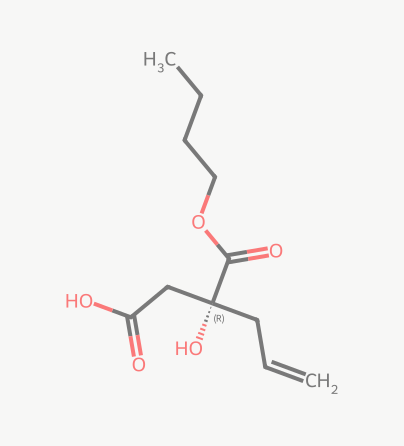 C=CC[C@@](O)(CC(=O)O)C(=O)OCCCC